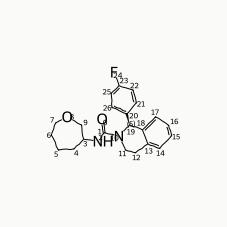 O=C(NC1CCCCOC1)N1CCc2ccccc2[C@@H]1c1ccc(F)cc1